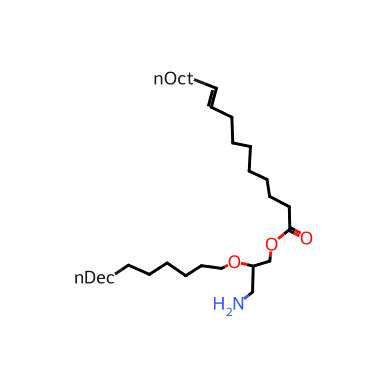 CCCCCCCCC=CCCCCCCCC(=O)OCC(CN)OCCCCCCCCCCCCCCCC